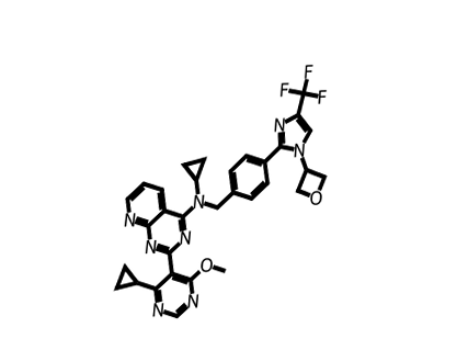 COc1ncnc(C2CC2)c1-c1nc(N(Cc2ccc(-c3nc(C(F)(F)F)cn3C3COC3)cc2)C2CC2)c2cccnc2n1